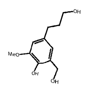 COc1cc(CCCO)cc(CO)c1O